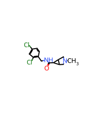 CN1CC2C(C1)C2C(=O)NCc1ccc(Cl)cc1Cl